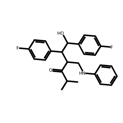 CC(C)C(=O)C(CNc1ccccc1)C(c1ccc(F)cc1)C(O)c1ccc(F)cc1